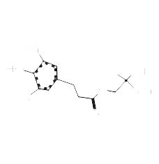 CCCCC(C)(CC)COC(=O)CCc1cc(C(C)(C)C)c(O)c(C(C)(C)C)c1